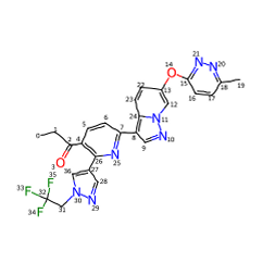 CCC(=O)c1ccc(-c2cnn3cc(Oc4ccc(C)nn4)ccc23)nc1-c1cnn(CC(F)(F)F)c1